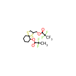 CC(F)(F)C(=O)OC1CCCCC12SCC(COC(=O)C(F)(F)C(F)(F)F)S2